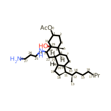 CC(=O)OC1CC[C@]2(C)[C@H]3CC[C@]4(C)[C@@H]([C@H](C)CCCC(C)C)CC[C@H]4[C@@H]3CC(NCCCN)C2(O)C1